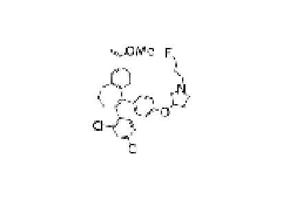 C=C(OC)c1ccc2c(c1)CCCC(c1ccc(Cl)cc1Cl)=C2c1ccc(OC2CCN(CCCF)C2)cc1